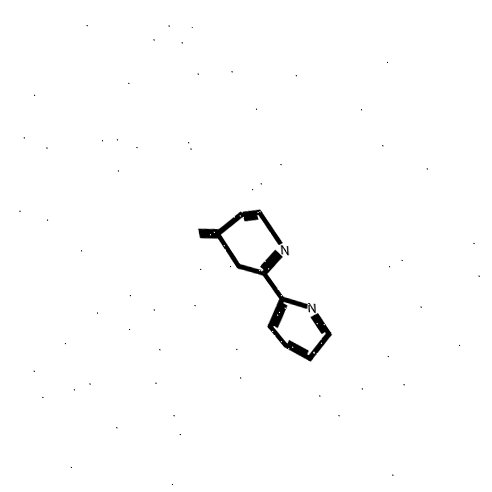 C=C1C=CN=C(c2ccccn2)C1